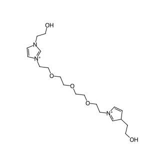 OCCC1C=C[N+](CCOCCOCCOCC[n+]2ccn(CCO)c2)=C1